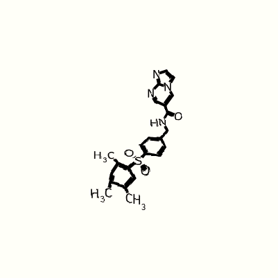 Cc1cc(C)c(S(=O)(=O)c2ccc(CNC(=O)c3cnc4nccn4c3)cc2)cc1C